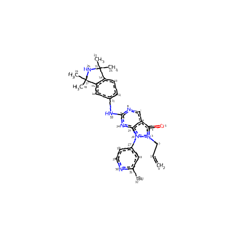 C=CCn1c(=O)c2cnc(Nc3ccc4c(c3)C(C)(C)NC4(C)C)nc2n1-c1ccnc(C(C)(C)C)c1